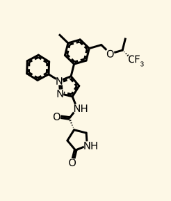 Cc1cc(CO[C@H](C)C(F)(F)F)cc(-c2cc(NC(=O)[C@@H]3CNC(=O)C3)nn2-c2ccccc2)c1